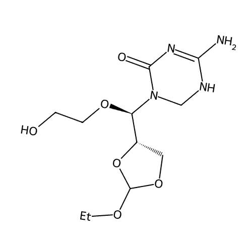 CCOC1OC[C@@H]([C@@H](OCCO)N2CNC(N)=NC2=O)O1